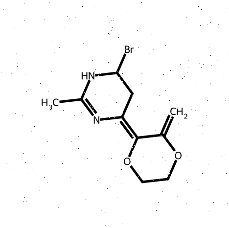 C=C1OCCO/C1=C1/CC(Br)NC(C)=N1